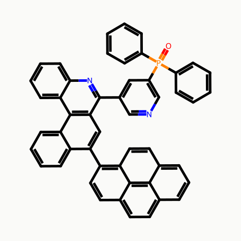 O=P(c1ccccc1)(c1ccccc1)c1cncc(-c2nc3ccccc3c3c2cc(-c2ccc4ccc5cccc6ccc2c4c56)c2ccccc23)c1